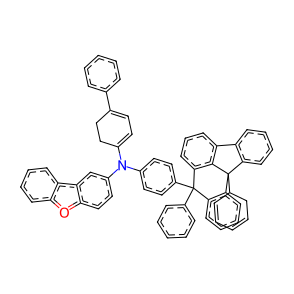 C1=CCC(C23c4ccccc4-c4cccc(c42)C(c2ccccc2)(c2ccc(N(C4=CC=C(c5ccccc5)CC4)c4ccc5oc6ccccc6c5c4)cc2)c2ccccc23)C=C1